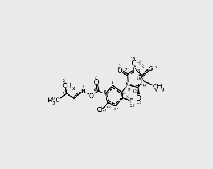 CC(C)C=NOC(=O)c1cc(-n2c(=O)n(C)c(=S)n(C)c2=O)c(F)cc1Cl